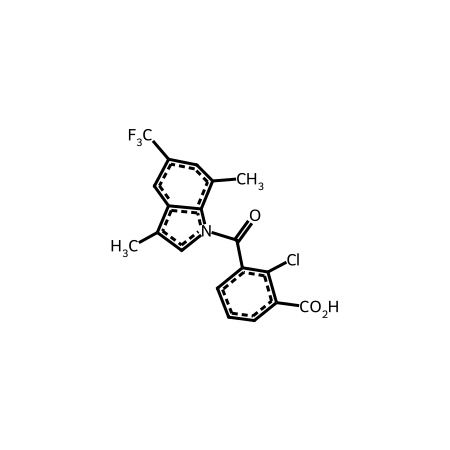 Cc1cn(C(=O)c2cccc(C(=O)O)c2Cl)c2c(C)cc(C(F)(F)F)cc12